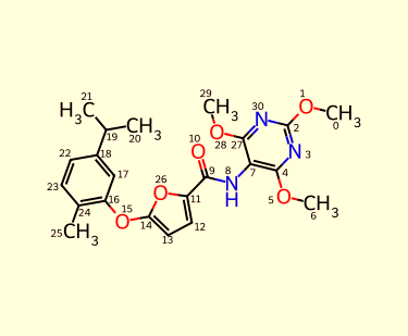 COc1nc(OC)c(NC(=O)c2ccc(Oc3cc(C(C)C)ccc3C)o2)c(OC)n1